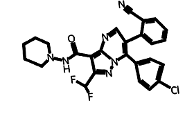 N#Cc1ccccc1-c1cnc2c(C(=O)NN3CCCCC3)c(C(F)F)nn2c1-c1ccc(Cl)cc1